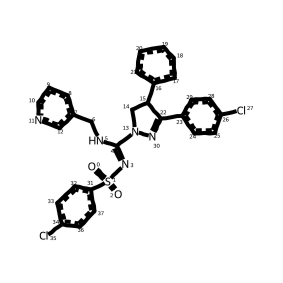 O=S(=O)(/N=C(\NCc1cccnc1)N1CC(c2ccccc2)C(c2ccc(Cl)cc2)=N1)c1ccc(Cl)cc1